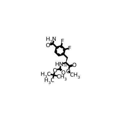 COC(=O)[C@H](Cc1ccc(C(N)=O)c(F)c1F)NC(=O)OC(C)(C)C